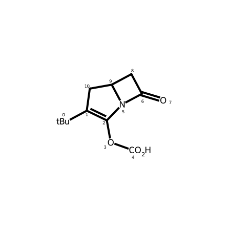 CC(C)(C)C1=C(OC(=O)O)N2C(=O)CC2C1